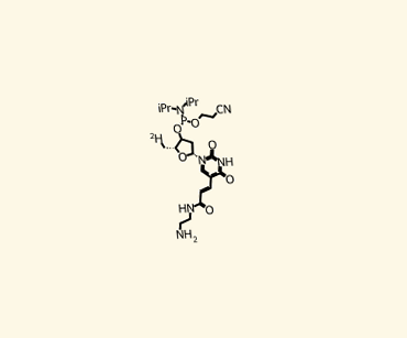 [2H]C[C@H]1O[C@@H](n2cc(/C=C/C(=O)NCCN)c(=O)[nH]c2=O)CC1OP(OCCC#N)N(C(C)C)C(C)C